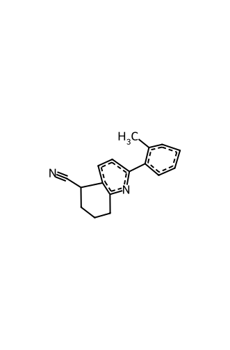 Cc1ccccc1-c1ccc2c(n1)CCCC2C#N